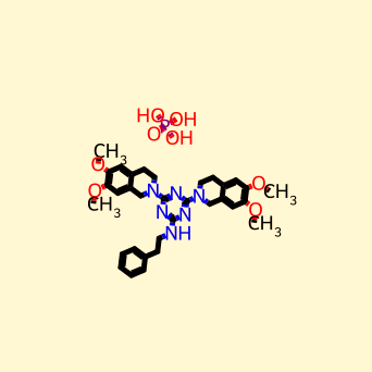 COc1cc2c(cc1OC)CN(c1nc(NCCc3ccccc3)nc(N3CCc4cc(OC)c(OC)cc4C3)n1)CC2.O=P(O)(O)O